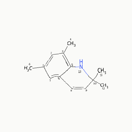 Cc1cc(C)c2c(c1)C=CC(C)(C)N2